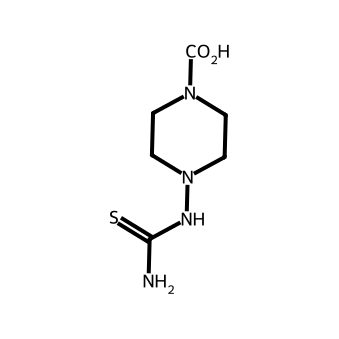 NC(=S)NN1CCN(C(=O)O)CC1